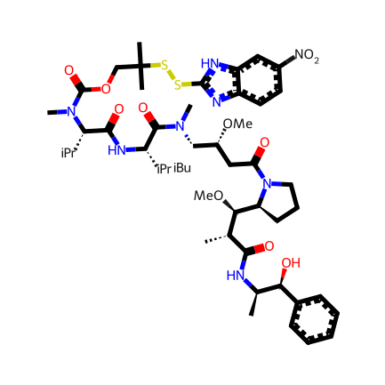 CC[C@H](C)[C@@H]([C@@H](CC(=O)N1CCC[C@H]1[C@H](OC)[C@@H](C)C(=O)N[C@H](C)[C@@H](O)c1ccccc1)OC)N(C)C(=O)[C@@H](NC(=O)[C@H](C(C)C)N(C)C(=O)OCC(C)(C)SSc1nc2ccc([N+](=O)[O-])cc2[nH]1)C(C)C